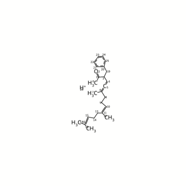 CC(=O)C(C=C=C(C)CCC=C(C)CCC=C(C)C)Cc1ccccc1.[H+]